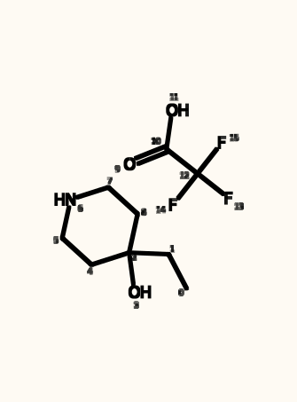 CCC1(O)CCNCC1.O=C(O)C(F)(F)F